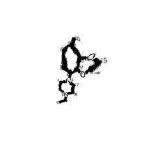 CCN1CCN(c2ccc(C)c3c2OCCO3)CC1